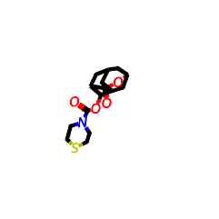 O=C1OC2CC3CC(C2)C(OC(=O)N2CCSCC2)C1C3